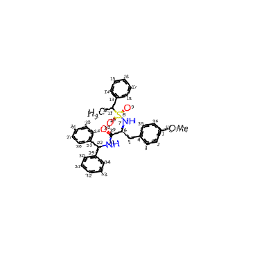 COc1ccc(C[C@H](NS(=O)(=O)C(C)c2ccccc2)C(=O)NC(c2ccccc2)c2ccccc2)cc1